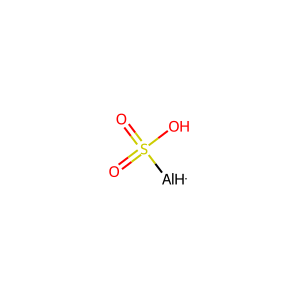 O=[S](=O)(O)[AlH]